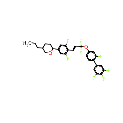 CCCC1CCC(c2cc(F)c(/C=C/C(F)(F)Oc3ccc(-c4cc(F)c(F)c(F)c4)c(F)c3)c(F)c2)OC1